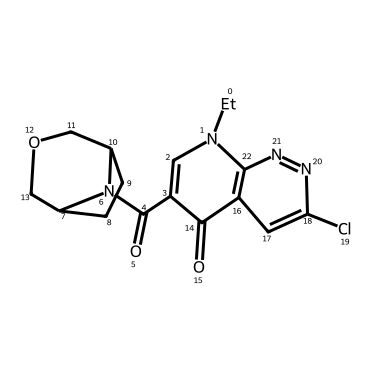 CCn1cc(C(=O)N2C3CCC2COC3)c(=O)c2cc(Cl)nnc21